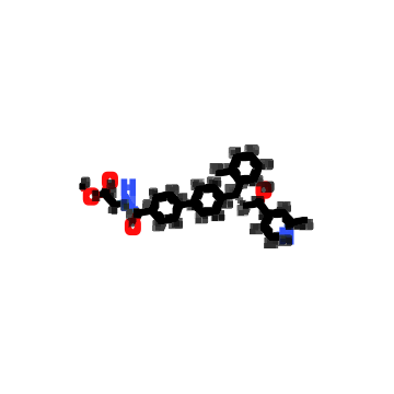 COC(=O)CNC(=O)c1ccc(-c2ccc([C@@H](CC(=O)c3ccnc(C)c3)c3ccccc3C)cc2)cc1